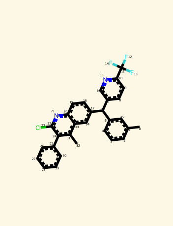 Cc1cccc(C(c2ccc(C(F)(F)F)nc2)c2ccc3nc(Cl)c(-c4ccccc4)c(C)c3c2)c1